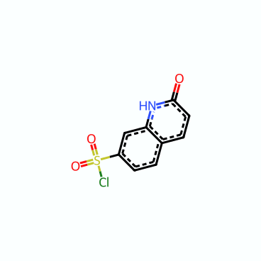 O=c1ccc2ccc(S(=O)(=O)Cl)cc2[nH]1